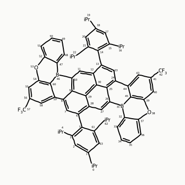 CC(C)c1cc(C(C)C)c(-c2cc3c4c(cc5c(-c6c(C(C)C)cc(C(C)C)cc6C(C)C)cc6c7c(cc2c4c57)B2c4ccccc4Oc4cc(C(F)(F)F)cc-6c42)B2c4ccccc4Oc4cc(C(F)(F)F)cc-3c42)c(C(C)C)c1